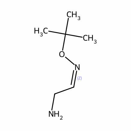 CC(C)(C)O/N=C\CN